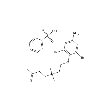 CC(=O)CC[N+](C)(C)CCOc1c(Br)cc(N)cc1Br.O=S(=O)(O)c1ccccc1